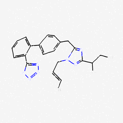 C/C=C/Cn1nc(C(C)CC)nc1Cc1ccc(-c2ccccc2-c2nnn[nH]2)cc1